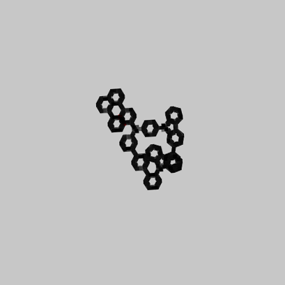 c1ccc(-c2ccc3c4ccccc4n(-c4ccc(N(c5ccc(-c6cccc7cccc(-c8ccccc8)c67)cc5)c5cccc(-c6ccc(-c7ccccc7-n7c8ccccc8c8ccccc87)cc6)c5)cc4)c3c2)cc1